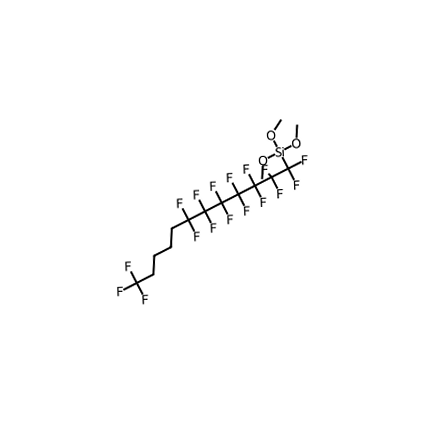 CO[Si](OC)(OC)C(F)(F)C(F)(F)C(F)(F)C(F)(F)C(F)(F)C(F)(F)C(F)(F)CCCCC(F)(F)F